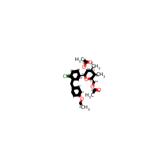 CCOc1ccc(Cc2cc([C@@H]3O[C@H](COC(C)=O)[C@@H](C)[C@H](C)[C@H]3OC(C)=O)ccc2Cl)cc1